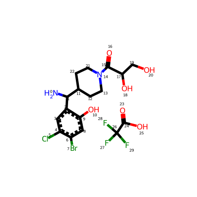 NC(c1cc(Cl)c(Br)cc1O)C1CCN(C(=O)C(O)CO)CC1.O=C(O)C(F)(F)F